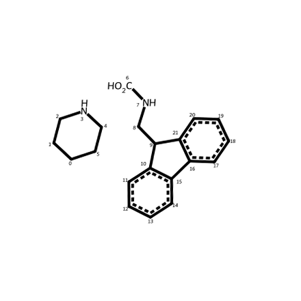 C1CCNCC1.O=C(O)NCC1c2ccccc2-c2ccccc21